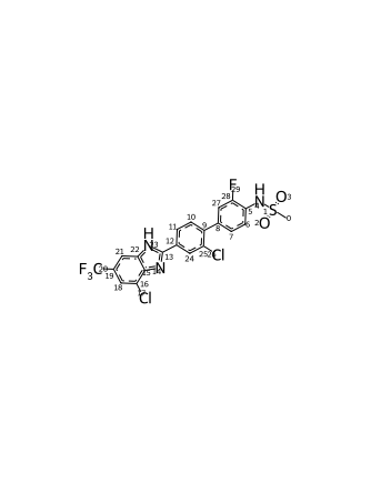 CS(=O)(=O)Nc1ccc(-c2ccc(-c3nc4c(Cl)cc(C(F)(F)F)cc4[nH]3)cc2Cl)cc1F